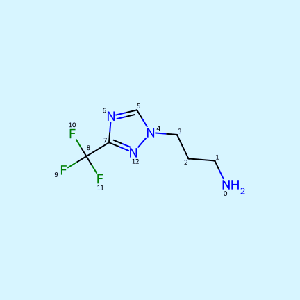 NCCCn1cnc(C(F)(F)F)n1